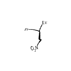 CCC(CC)C[N+](=O)[O-]